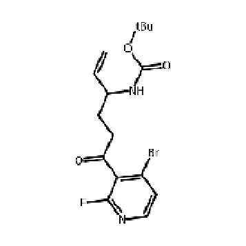 C=CC(CCC(=O)c1c(Br)ccnc1F)NC(=O)OC(C)(C)C